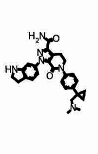 CN(C)CC1(c2ccc(N3CCc4c(C(N)=O)nn(-c5ccc6c(c5)NCC6)c4C3=O)cc2)CC1